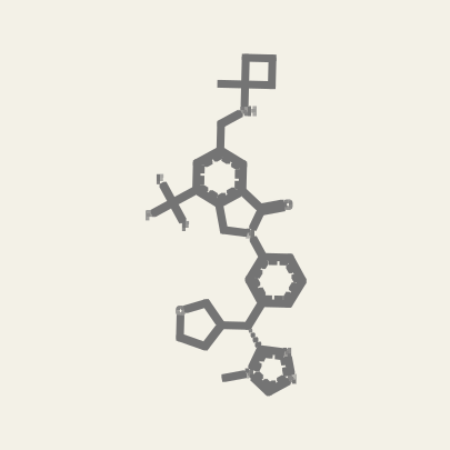 Cn1cnnc1[C@@H](c1cccc(N2Cc3c(cc(CNC4(C)CCC4)cc3C(F)(F)F)C2=O)c1)C1CCOC1